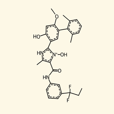 CCC(F)(F)c1cccc(NC(=O)c2c(C)[nH]c(-c3cc(-c4c(C)cccc4C)c(OC)cc3O)[n+]2O)c1